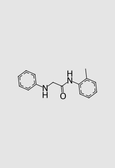 Cc1ccccc1NC(=O)CNc1ccccc1